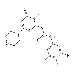 Cn1c(CC(=O)Nc2cc(F)c(F)c(F)c2)nc(N2CCOCC2)cc1=O